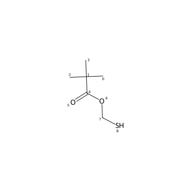 CC(C)(C)C(=O)OCS